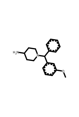 COc1cccc(C(c2ccccc2)N2CCC(N)CC2)c1